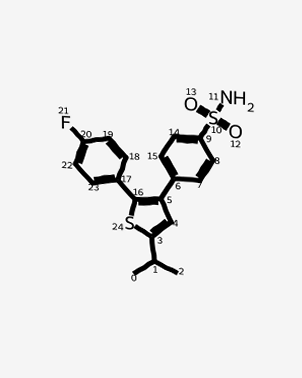 CC(C)c1cc(-c2ccc(S(N)(=O)=O)cc2)c(-c2ccc(F)cc2)s1